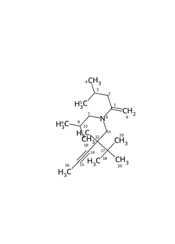 C=C(CC(C)C)N(CC(C)C)CC(C)(C#CC)C(C)(C)C